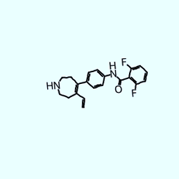 C=CC1=C(c2ccc(NC(=O)c3c(F)cccc3F)cc2)CCNCC1